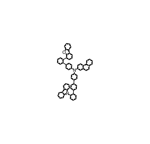 c1ccc(-c2cccc3c2oc2ccccc23)c(-c2ccc(N(c3ccc(-c4ccc(-c5ccccc5-n5c6ccccc6c6ccccc65)cc4)cc3)c3ccc4c(ccc5ccccc54)c3)cc2)c1